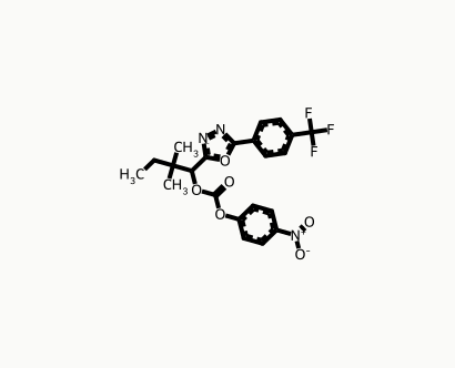 CCC(C)(C)C(OC(=O)Oc1ccc([N+](=O)[O-])cc1)c1nnc(-c2ccc(C(F)(F)F)cc2)o1